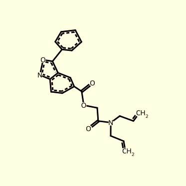 C=CCN(CC=C)C(=O)COC(=O)c1ccc2noc(-c3ccccc3)c2c1